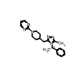 Cc1nnc(CC2CCN(c3ncccn3)CC2)n1[C@@H](C)c1ccccc1